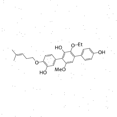 CCOc1c(-c2ccc(O)cc2)cc(OC)c(-c2ccc(OCCC=C(C)C)c(O)c2)c1O